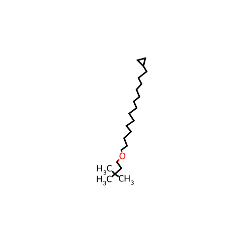 CC(C)(C)CCOCCCCCCCCCCCCCCC1CC1